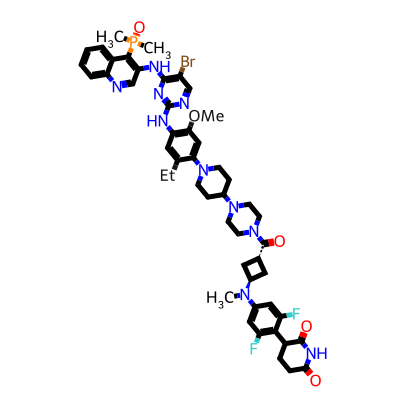 CCc1cc(Nc2ncc(Br)c(Nc3cnc4ccccc4c3P(C)(C)=O)n2)c(OC)cc1N1CCC(N2CCN(C(=O)[C@H]3C[C@H](N(C)c4cc(F)c(C5CCC(=O)NC5=O)c(F)c4)C3)CC2)CC1